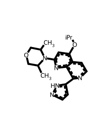 CC(C)Oc1cc(N2C(C)COCC2C)nc2c(-c3ccn[nH]3)nccc12